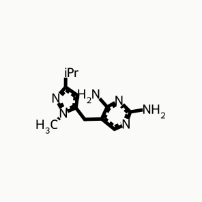 CC(C)c1cc(Cc2cnc(N)nc2N)n(C)n1